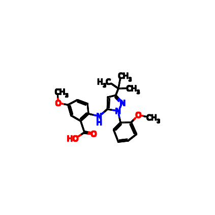 COc1ccc(Nc2cc(C(C)(C)C)nn2-c2ccccc2OC)c(C(=O)O)c1